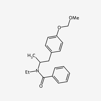 CCN(C(=O)c1ccccc1)C(C)Cc1ccc(OCOC)cc1